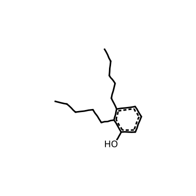 CCCCCc1cccc(O)c1CCCCC